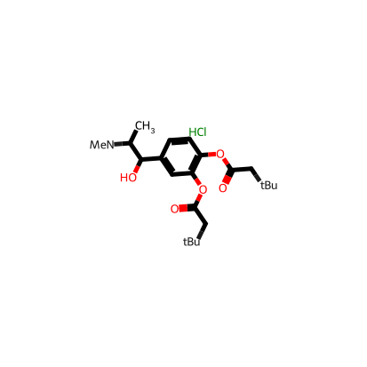 CNC(C)C(O)c1ccc(OC(=O)CC(C)(C)C)c(OC(=O)CC(C)(C)C)c1.Cl